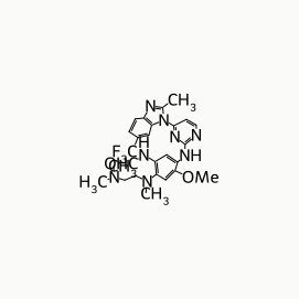 COc1cc(N(C)CCN(C)C)c(NC=O)cc1Nc1nccc(-n2c(C)nc3ccc(C(F)(F)F)cc32)n1